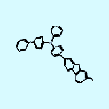 Fc1ccc2c(c1)sc1cc(-c3ccc(N(c4ccccc4)c4ccc(-c5ccccc5)cc4)cc3)ccc12